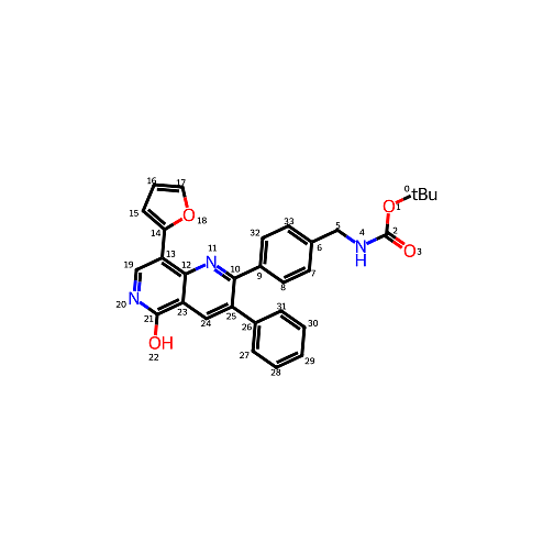 CC(C)(C)OC(=O)NCc1ccc(-c2nc3c(-c4ccco4)cnc(O)c3cc2-c2ccccc2)cc1